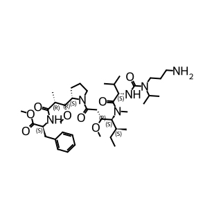 CC[C@H](C)[C@@H]([C@@H](CC(=O)N1CCC[C@H]1[C@H](OC)[C@@H](C)C(=O)N[C@@H](Cc1ccccc1)C(=O)OC)OC)N(C)C(=O)[C@@H](NC(=O)N(CCCN)C(C)C)C(C)C